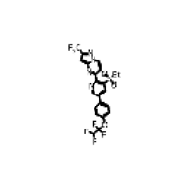 CCS(=O)(=O)c1cc(-c2ccc(OC(F)(F)C(F)F)cc2)cnc1-c1ccn2nc(C(F)(F)F)cc2n1